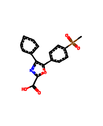 CS(=O)(=O)c1ccc(-c2oc(C(=O)O)nc2-c2ccccc2)cc1